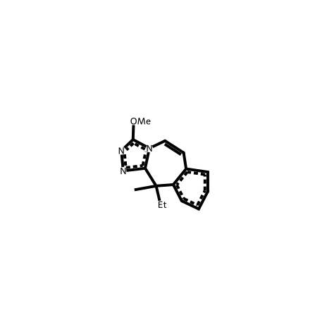 CCC1(C)c2ccccc2C=Cn2c(OC)nnc21